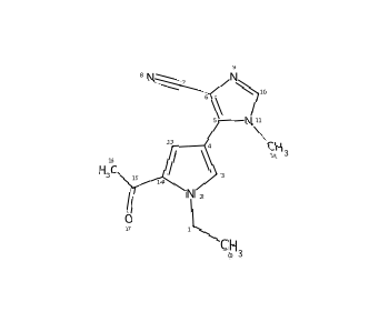 CCn1cc(-c2c(C#N)ncn2C)cc1C(C)=O